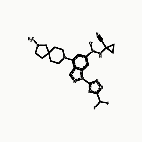 CN1CCC2(CCN(c3cc([S+]([O-])NC4(C#N)CC4)cc4c3cnn4-c3nnc(C(F)F)s3)CC2)C1